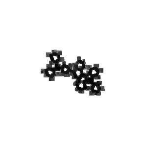 C1=CCC2C(=C1)C(c1ccc(N(c3ccccc3)c3ccccc3)cc1)=Cc1c2c2c3ccccc3n(-c3ccccc3)c2c2ccccc12